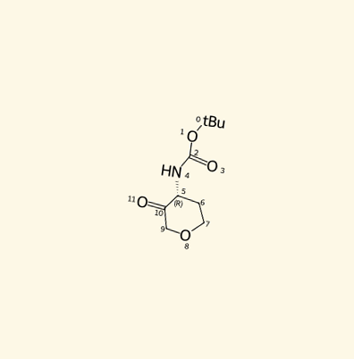 CC(C)(C)OC(=O)N[C@@H]1CCOCC1=O